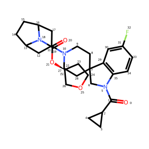 O=C(C1CC1)N1CC2(CCN(C3CC4CCC(C3)N4C(=O)O[C@H]3CCOC3)CC2)c2cc(F)ccc21